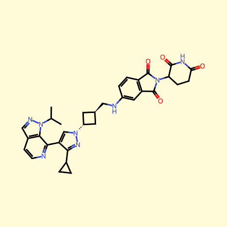 CC(C)n1ncc2ccnc(-c3cn([C@H]4C[C@H](CNc5ccc6c(c5)C(=O)N(C5CCC(=O)NC5=O)C6=O)C4)nc3C3CC3)c21